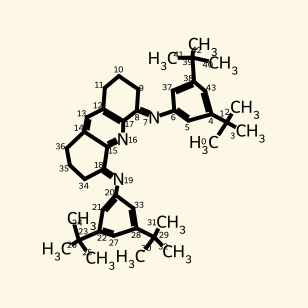 CC(C)(C)c1cc(N=C2CCCc3cc4c(nc32)C(=Nc2cc(C(C)(C)C)cc(C(C)(C)C)c2)CCC4)cc(C(C)(C)C)c1